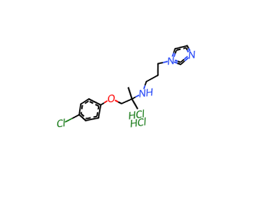 CC(C)(COc1ccc(Cl)cc1)NCCCn1ccnc1.Cl.Cl